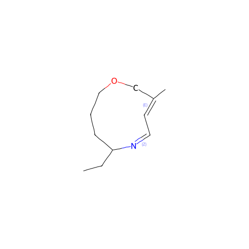 CCC1CCCOC/C(C)=C/C=N\1